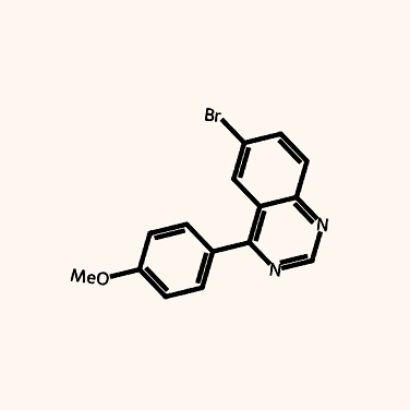 COc1ccc(-c2ncnc3ccc(Br)cc23)cc1